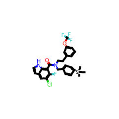 C[Si](C)(C)c1ccc(CN(CCc2cccc(OC(F)(F)F)c2)C(=O)c2c(F)c(Cl)cc3cc[nH]c23)cc1